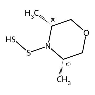 C[C@@H]1COC[C@H](C)N1SS